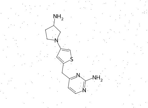 Nc1nccc(Cc2cc(N3CCC(N)C3)cs2)n1